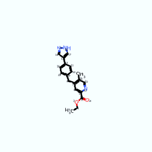 CCOC(=O)c1cc(Cc2ccc(-c3cn[nH]c3)cc2)c(C)cn1